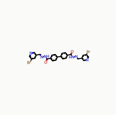 O=C(N/N=C/c1cncc(Br)c1)c1ccc(-c2ccc(C(=O)N/N=C/c3cncc(Br)c3)cc2)cc1